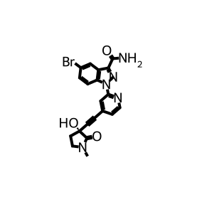 CN1CC[C@@](O)(C#Cc2ccnc(-n3nc(C(N)=O)c4cc(Br)ccc43)c2)C1=O